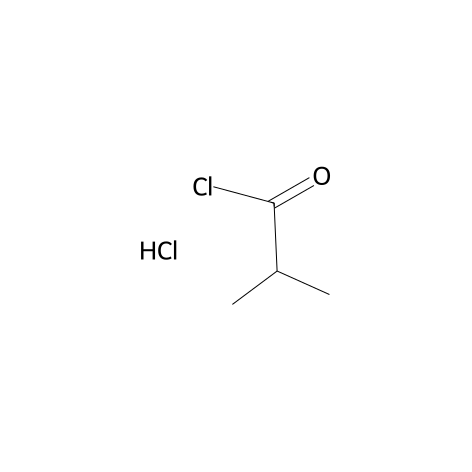 CC(C)C(=O)Cl.Cl